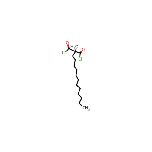 CCCCCCCCCCCCC(C)(C(=O)Cl)C(=O)Cl